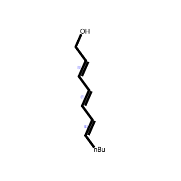 CCCC/C=C/C=C/C=C/CO